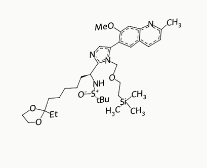 CCC1(CCCCC[C@H](N[S+]([O-])C(C)(C)C)c2ncc(-c3cc4ccc(C)nc4cc3OC)n2COCC[Si](C)(C)C)OCCO1